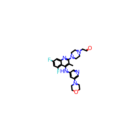 Cc1c(N2CCN(CC=O)CC2)nc2cc(F)cc(F)c2c1Nc1cncc(N2CCOCC2)c1